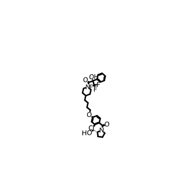 O=C(c1ccc(OCCCCC2CCN(C(=O)[C@](O)(c3ccccc3)C(F)(F)F)CC2)cc1Cl)N1CCC[C@@H]1CO